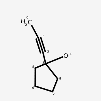 CC#CC1([O])CCCC1